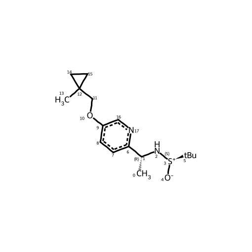 C[C@@H](N[S@+]([O-])C(C)(C)C)c1ccc(OCC2(C)CC2)cn1